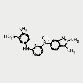 Cc1ccc(Nc2nccc(N(C)c3ccc4c(C)n(C)nc4c3)n2)cc1S(=O)(=O)O